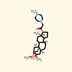 COCC[C@]12CC[C@@](C)(O)C[C@@H]1CC[C@H]1[C@@H]3CC[C@H](C(=O)CN4CCN(C)CC4)[C@@]3(C)CC[C@@H]12